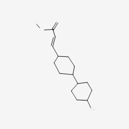 CCCCOC(=O)C=CC1CCC(C2CCC(CCCC)CC2)CC1